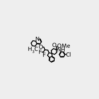 COC(=O)C1(Nc2cccc(Cl)c2)CCC2(CC1)c1ccccc1CC2CC(COc1ccnc2c1[C@H](C)CCC2)C(F)F